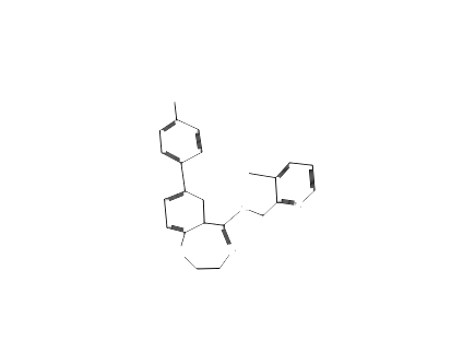 Fc1cccnc1CNC1=NCCOC2=CC=C(c3ccc(C(F)(F)F)cc3)CC21